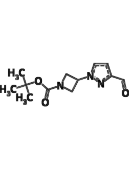 CC(C)(C)OC(=O)N1CC(n2ccc(C=O)n2)C1